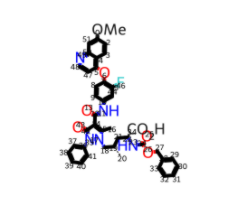 COc1ccc2c(Oc3ccc(NC(=O)c4c(C)n(C[C@@H](C)C[C@H](NC(=O)OCc5ccccc5)C(=O)O)n(-c5ccccc5)c4=O)cc3F)ccnc2c1